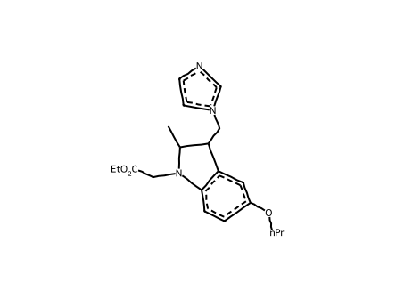 CCCOc1ccc2c(c1)C(Cn1ccnc1)C(C)N2CC(=O)OCC